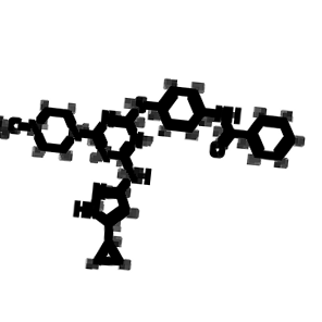 CN1CCN(c2nc(Nc3cc(C4CC4)[nH]n3)nc(Sc3ccc(NC(=O)c4ccccc4)cc3)n2)CC1